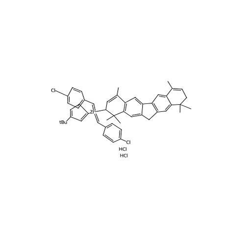 CC1=CCC(C)(C)c2cc3c(cc21)-c1cc2c(cc1C3)C(C)(C)[CH]([Zr](=[CH]c1ccc(Cl)cc1)(=[CH]c1ccc(Cl)cc1)[C]1=CC(C(C)(C)C)=CC1)C=C2C.Cl.Cl